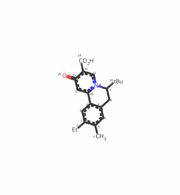 CCc1cc2c(cc1C)CC(C(C)(C)C)n1cc(C(=O)O)c(=O)cc1-2